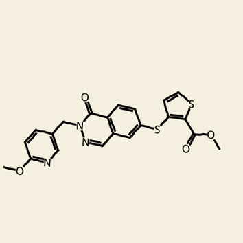 COC(=O)c1sccc1Sc1ccc2c(=O)n(Cc3ccc(OC)nc3)ncc2c1